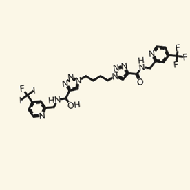 O=C(NCc1cc(C(F)(F)F)ccn1)c1cn(CCCCn2cc(C(O)NCc3cc(C(F)(I)I)ccn3)nn2)nn1